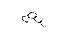 O=C(O)Oc1cccc2c1OCO2